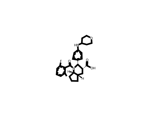 Cc1cccc(F)c1C(=O)N1[C@H](c2ccc(NC3CCOCC3)cc2)[C@H](C(=O)O)C[C@@H]2CCC[C@@H]21